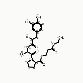 CCOC(=O)CCSC(=O)C1CCCN1C(=O)C(C)NC(=O)C(O)Cc1ccc(O)c(O)c1